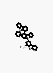 BC1=CC(n2c3ccccc3c3c(-c4cccc5c6ccccc6n(-c6ccccc6)c45)cccc32)Cc2c1sc1ccccc21